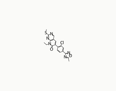 CCn1c(=O)c(-c2ccc(-c3noc(C)n3)cc2Cl)cc2cnc(SC)nc21